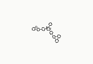 c1ccc(-c2nc(-c3ccc(-c4ccc5c(c4)oc4ccccc45)cc3)cc(-c3ccc(-c4ccc5c6ccccc6c6ccccc6c5c4)cc3)n2)cc1